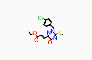 CCOC(=O)/C=C/c1nn(Cc2ccc(Cl)cc2)c(SC)nc1=O